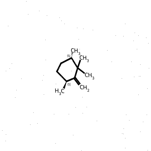 C=C1[C@@H](C)CC[C@H](C)C1(C)C